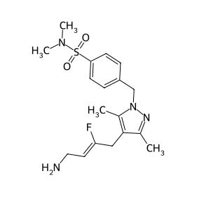 Cc1nn(Cc2ccc(S(=O)(=O)N(C)C)cc2)c(C)c1CC(F)=CCN